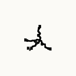 N#CCCOCC(COCCN)(COCCC#N)COCCC#N